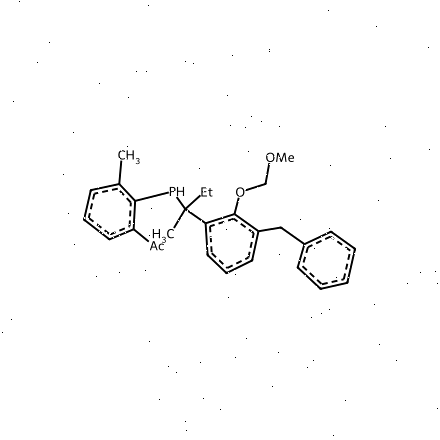 CCC(C)(Pc1c(C)cccc1C(C)=O)c1cccc(Cc2ccccc2)c1OCOC